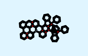 c1ccc(-c2cccc3cccc(-c4ccccc4N(c4cccc(-c5cccc6c5c5ccccc5n6-c5ccccc5)c4)c4ccccc4-c4cccc5c4-c4ccccc4C5(c4ccccc4)c4ccccc4)c23)cc1